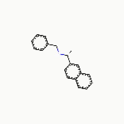 C[C@H](NCc1ccccc1)c1ccc2ccccc2c1